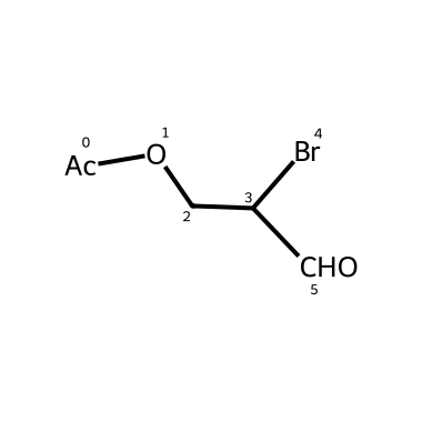 CC(=O)OCC(Br)C=O